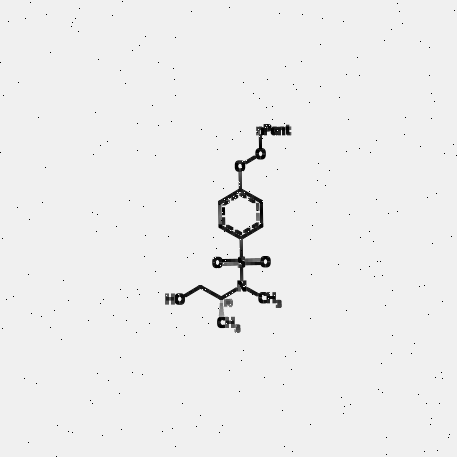 CCCCCOOc1ccc(S(=O)(=O)N(C)[C@H](C)CO)cc1